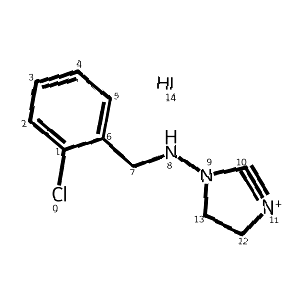 Clc1ccccc1CNN1C#[N+]CC1.I